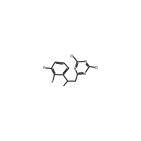 CC(Cc1nc(Cl)nc(Cl)n1)c1cccc(F)c1F